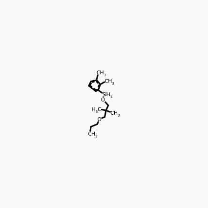 CCCOCC(C)(C)CO[SiH2]c1cccc(C)c1C